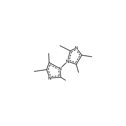 Cc1nc(C)n(-n2c(C)nc(C)c2C)c1C